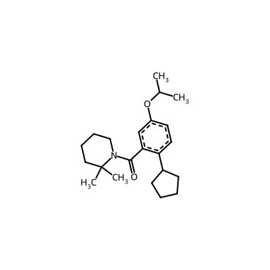 CC(C)Oc1ccc(C2CCCC2)c(C(=O)N2CCCCC2(C)C)c1